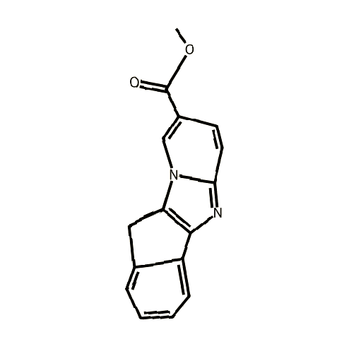 COC(=O)c1ccc2nc3c(n2c1)Cc1ccccc1-3